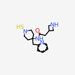 O=C(CC1CNC1)NC1(Cc2ccccn2)CCN(S)CC1